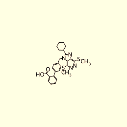 CSc1nnc(SC)c2c1nc(C1CCCCC1)n2Cc1ccc(-c2ccccc2C(=O)O)cc1